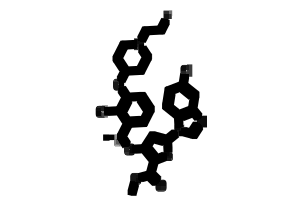 COC(=O)c1sc(-n2cnc3cc(Cl)ccc32)cc1O[C@H](C)c1cccc(OC2CCN(CCF)CC2)c1Cl